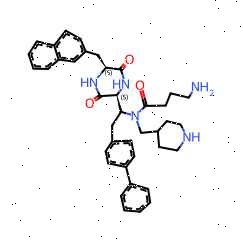 NCCCC(=O)N(CC1CCNCC1)C(Cc1ccc(-c2ccccc2)cc1)[C@@H]1NC(=O)[C@H](Cc2ccc3ccccc3c2)NC1=O